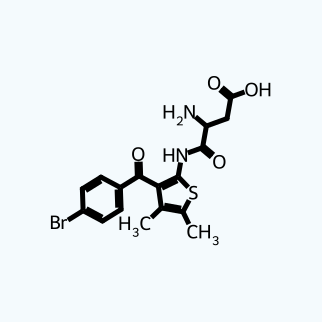 Cc1sc(NC(=O)C(N)CC(=O)O)c(C(=O)c2ccc(Br)cc2)c1C